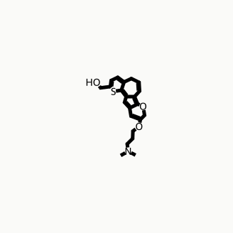 CN(C)CCCOC1=CC2=CC3=C4SC(CO)=CC=C4CC=CC3=C2OC1